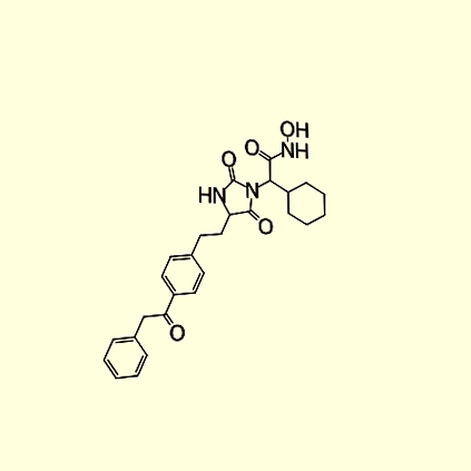 O=C(Cc1ccccc1)c1ccc(CCC2NC(=O)N(C(C(=O)NO)C3CCCCC3)C2=O)cc1